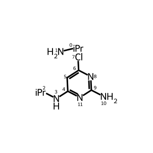 CC(C)N.CC(C)Nc1cc(Cl)nc(N)n1